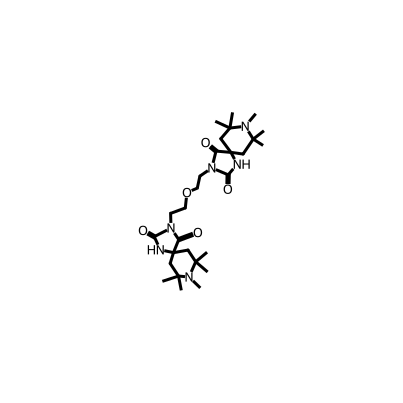 CN1C(C)(C)CC2(CC1(C)C)NC(=O)N(CCOCCN1C(=O)NC3(CC(C)(C)N(C)C(C)(C)C3)C1=O)C2=O